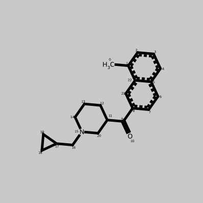 Cc1cccc2ccc(C(=O)C3CCCN(CC4CC4)C3)cc12